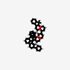 CC1(C)c2ccccc2-c2cc(N(c3ccccc3-c3ccccc3)c3ccccc3-c3cccc4c3C3(c5ccccc5-c5ccccc53)c3cccc5c6ccccc6n-4c35)ccc21